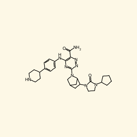 NC(=O)c1nnc(N2CC3CC(N4CCN(C5CCCC5)C4=O)C2C3)nc1Nc1ccc(C2CCNCC2)cc1